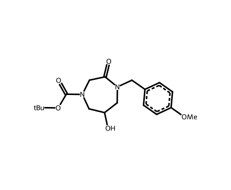 COc1ccc(CN2CC(O)CN(C(=O)OC(C)(C)C)CC2=O)cc1